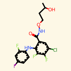 CC(O)CCONC(=O)c1cc(Cl)c(F)c(F)c1Nc1ccc(I)cc1F